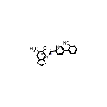 C[C@H]1[C@H](/C=C/c2ccc(-c3ccccc3C#N)cn2)c2ncsc2C[C@@H]1C